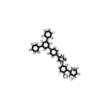 Cc1ccc(-n2cc(-c3ccc(-c4cc(-c5ccccc5)cc(-c5ccccc5)c4)cc3)nn2)cc1-c1ccccn1